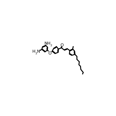 CCCCCCCCc1ccc(C=CC(=O)c2ccc(Oc3cc(N)cc(N)c3)cc2)c(C)c1